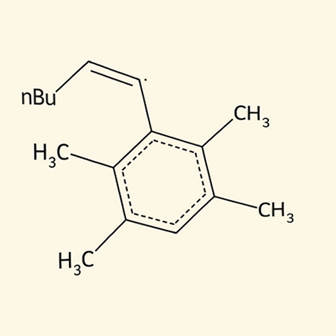 CCCC/C=[C]\c1c(C)c(C)cc(C)c1C